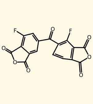 O=C(c1cc(F)c2c(c1)C(=O)OC2=O)c1ccc2c(c1F)C(=O)OC2=O